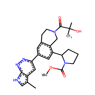 Cc1c[nH]c2nnc(-c3cc4c(c(C5CCCN5C(=O)OC(C)(C)C)c3)CN(C(=O)C(C)(O)C(F)(F)F)CC4)cc12